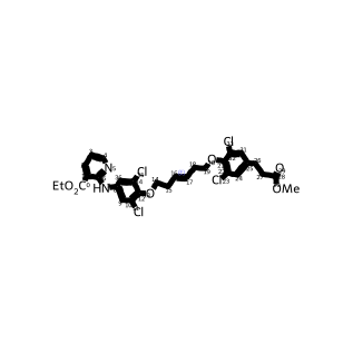 CCOC(=O)c1cccnc1Nc1cc(Cl)c(OCC/C=C/CCOc2c(Cl)cc(CCC(=O)OC)cc2Cl)c(Cl)c1